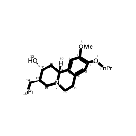 CCCOc1cc2c(cc1OC)[C@H]1C[C@@H](O)[C@H](CC(C)C)CN1CC2